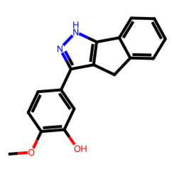 COc1ccc(-c2n[nH]c3c2Cc2ccccc2-3)cc1O